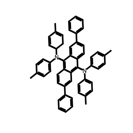 CC1=CCC(N(c2ccc(C)cc2)c2c3ccc(-c4ccccc4)cc3c(N(c3ccc(C)cc3)c3ccc(C)cc3)c3ccc(-c4ccccc4)cc23)C=C1